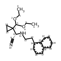 CCOC(OCC)C1([C@@H](C#N)NCCc2cccc3ccccc23)CC1